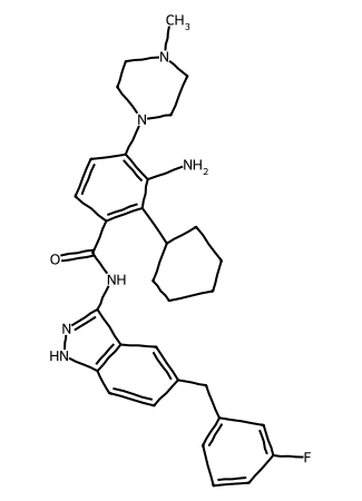 CN1CCN(c2ccc(C(=O)Nc3n[nH]c4ccc(Cc5cccc(F)c5)cc34)c(C3CCCCC3)c2N)CC1